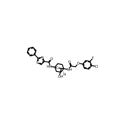 O=C(COc1ccc(Cl)c(F)c1)NC12CCC(NC(=O)c3csc(-c4ccccc4)n3)(CC1)C[C@@H]2O